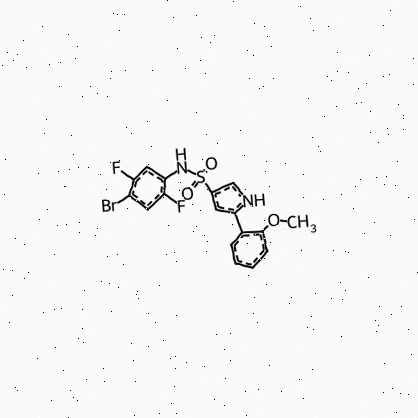 COc1ccccc1-c1cc(S(=O)(=O)Nc2cc(F)c(Br)cc2F)c[nH]1